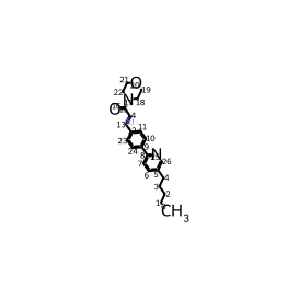 CCCCCc1ccc(-c2ccc(/C=C/C(=O)N3CCOCC3)cc2)nc1